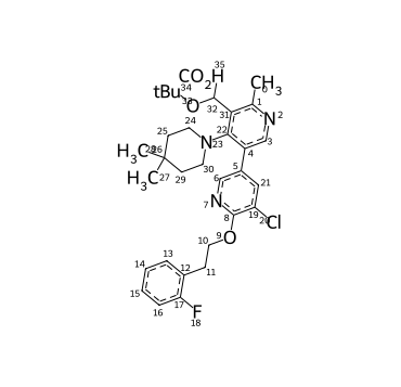 Cc1ncc(-c2cnc(OCCc3ccccc3F)c(Cl)c2)c(N2CCC(C)(C)CC2)c1C(OC(C)(C)C)C(=O)O